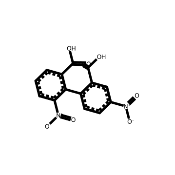 O=C(O)c1cc([N+](=O)[O-])ccc1-c1c(C(=O)O)cccc1[N+](=O)[O-]